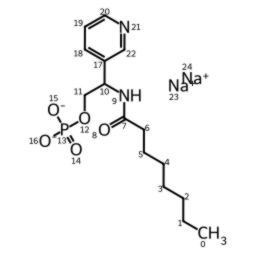 CCCCCCCC(=O)NC(COP(=O)([O-])[O-])c1cccnc1.[Na+].[Na+]